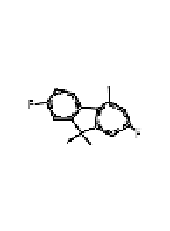 Cc1cc(F)cc2c1-c1ccc(F)cc1C2(C)C